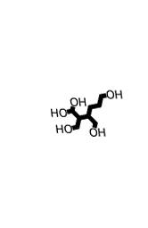 OCCCC(CO)C(CO)C(O)O